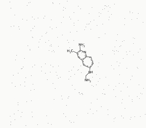 Cc1cc2cc(BCN)ccc2nc1N